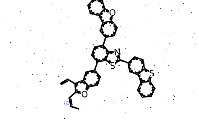 C=Cc1c(/C=C\C)oc2ccc(-c3ccc(-c4ccc5oc6ccccc6c5c4)c4nc(-c5ccc6sc7ccccc7c6c5)sc34)cc12